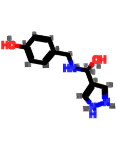 Oc1ccc(CN[C@@H](O)c2cn[nH]c2)cc1